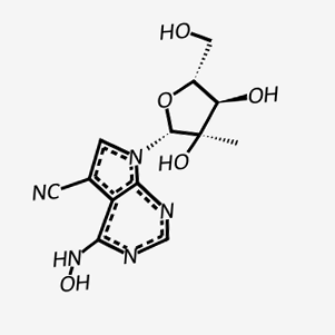 C[C@@]1(O)[C@H](O)[C@@H](CO)O[C@H]1n1cc(C#N)c2c(NO)ncnc21